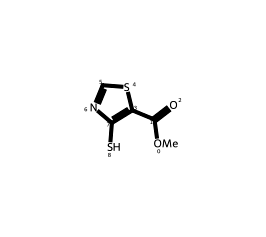 COC(=O)c1scnc1S